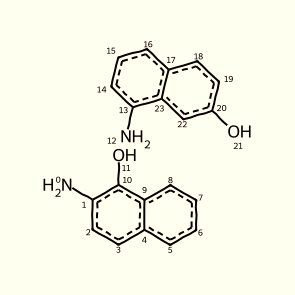 Nc1ccc2ccccc2c1O.Nc1cccc2ccc(O)cc12